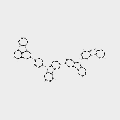 c1ccc2c(c1)-c1cccc3cc(-c4ccc(-n5c6ccccc6c6cc(-c7ccc8c(c7)c7ccccc7n8-c7ccc8sc9ccccc9c8c7)ccc65)cc4)cc-2c13